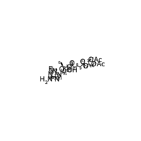 C#C[C@]1(COC(=O)CCCC(=O)OC(COC(C)=O)COC(C)=O)O[C@@H](n2cnc3c(N)nc(F)nc32)C[C@@H]1O